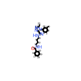 Cc1ccc2nc(NCCCCNC(=O)c3ccccc3)c3nnc(C)n3c2c1